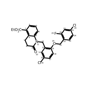 CCOC(=O)c1cccc2c1CCC(=O)N2Cc1cc(Cl)ccc1OCc1ccc(Cl)cc1F